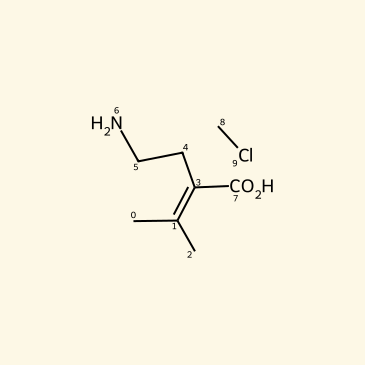 CC(C)=C(CCN)C(=O)O.CCl